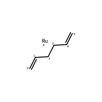 C=CCCC=C.[Ru]